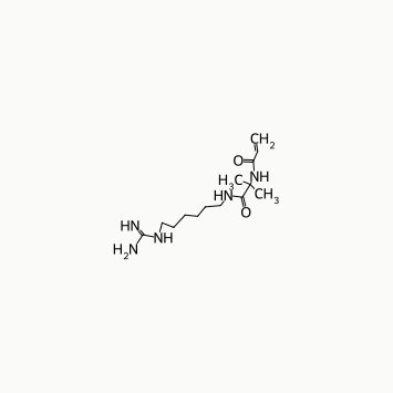 C=CC(=O)NC(C)(C)C(=O)NCCCCCCNC(=N)N